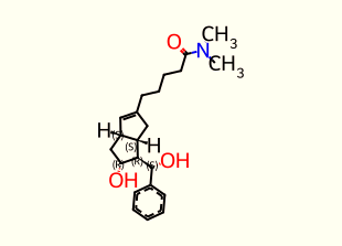 CN(C)C(=O)CCCCC1=C[C@H]2C[C@@H](O)[C@H]([C@H](O)c3ccccc3)[C@H]2C1